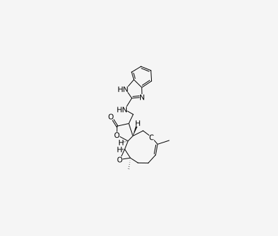 C/C1=C/CC[C@@]2(C)O[C@H]2[C@H]2OC(=O)C(CNc3nc4ccccc4[nH]3)[C@@H]2CC1